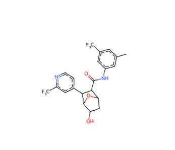 Cc1cc(NC(=O)C2C3CC(O)C(O3)C2c2ccnc(C(F)(F)F)c2)cc(C(F)(F)F)c1